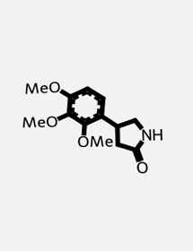 COc1ccc(C2CNC(=O)C2)c(OC)c1OC